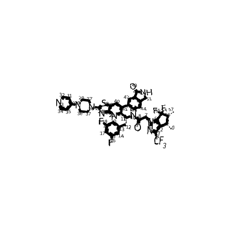 C[C@@H]1c2c(C(F)(F)F)nn(CC(=O)N[C@H](Cc3cc(F)cc(F)c3)c3nc4nc(N5CCN(c6ccncc6)CC5)sc4cc3-c3ccc4c(c3)C(=O)NC4)c2C(F)(F)[C@@H]1C